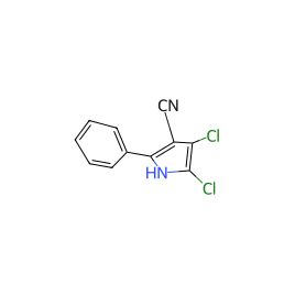 N#Cc1c(-c2ccccc2)[nH]c(Cl)c1Cl